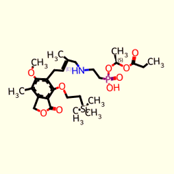 CCC(=O)O[C@H](C)OP(=O)(O)CCNC/C(C)=C/Cc1c(OC)c(C)c2c(c1OCC[Si](C)(C)C)C(=O)OC2